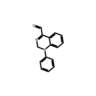 O=CC1=NCN(c2ccccc2)c2ccccc21